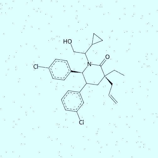 C=CC[C@@]1(CC)CC(c2cccc(Cl)c2)[C@@H](c2ccc(Cl)cc2)N(C(CO)C2CC2)C1=O